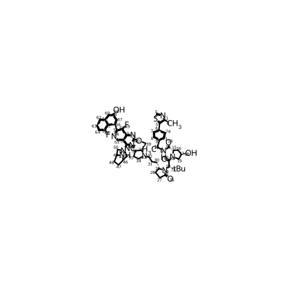 Cc1ncsc1-c1ccc([C@H](C)NC(=O)[C@@H]2C[C@@H](O)CN2C(=O)[C@@H](N2C(=O)CC[C@@H]2CCCN2CC[C@H](C#N)[C@H]2COc2nc(N3CC4CCC(C3)N4)c3cnc(-c4cc(O)cc5cccc(F)c45)c(F)c3n2)C(C)(C)C)cc1